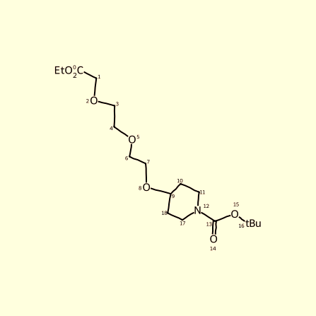 CCOC(=O)COCCOCCOC1CCN(C(=O)OC(C)(C)C)CC1